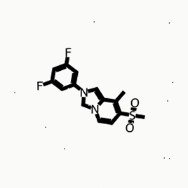 CC1=C(S(C)(=O)=O)C=CN2CN(c3cc(F)cc(F)c3)C=C12